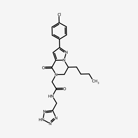 CCCCC1CN(CC(=O)NCc2nn[nH]n2)C(=O)c2cc(-c3ccc(Cl)cc3)nn21